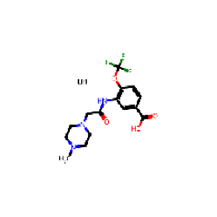 CN1CCN(CC(=O)Nc2cc(C(=O)O)ccc2OC(F)(F)F)CC1.[LiH]